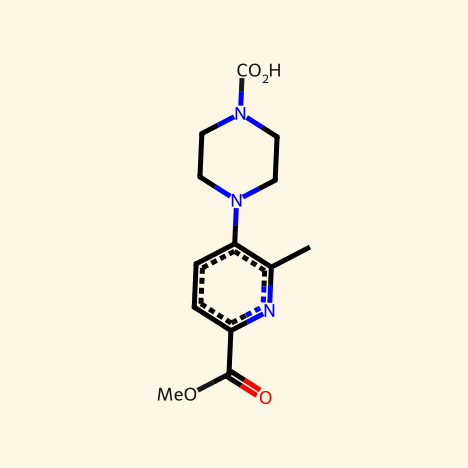 COC(=O)c1ccc(N2CCN(C(=O)O)CC2)c(C)n1